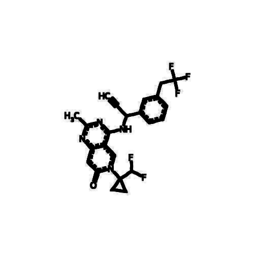 C#CC(Nc1nc(C)nc2cc(=O)n(C3(C(F)F)CC3)cc12)c1cccc(CC(F)(F)F)c1